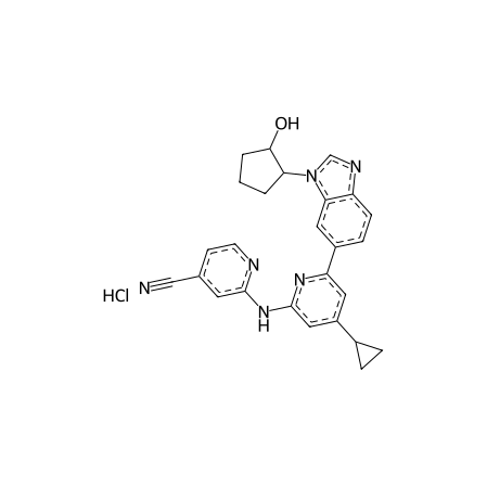 Cl.N#Cc1ccnc(Nc2cc(C3CC3)cc(-c3ccc4ncn(C5CCCC5O)c4c3)n2)c1